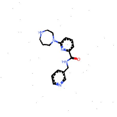 O=C(NCc1cccnc1)c1cccc(N2CCCNCC2)n1